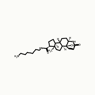 C[C@]12C=CC(=O)N[C@@H]1CC[C@@H]1[C@@H]2CC[C@]2(C)[C@@H](C(=O)NCCCCCCN)CC[C@@H]12